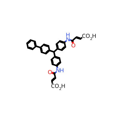 O=C(O)/C=C/C(=O)Nc1ccc(C(c2ccc(NC(=O)/C=C/C(=O)O)cc2)c2ccc(-c3ccccc3)cc2)cc1